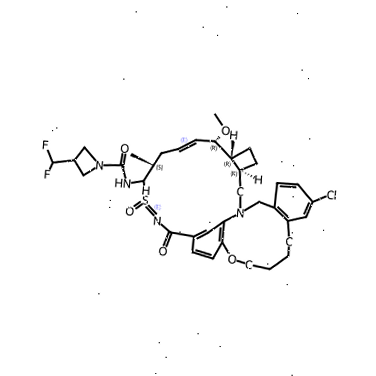 CO[C@H]1/C=C/C[C@H](C)C(NC(=O)N2CC(C(F)F)C2)/[SH](=O)=N\C(=O)c2ccc3c(c2)N(Cc2ccc(Cl)cc2CCCCO3)C[C@@H]2CC[C@H]21